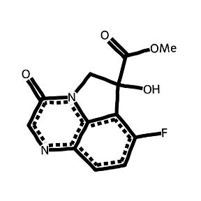 COC(=O)C1(O)Cn2c(=O)cnc3ccc(F)c1c32